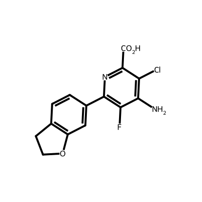 Nc1c(F)c(-c2ccc3c(c2)OCC3)nc(C(=O)O)c1Cl